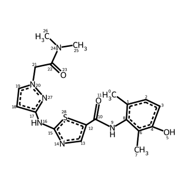 Cc1ccc(O)c(C)c1NC(=O)c1cnc(Nc2ccn(CC(=O)N(C)C)n2)s1